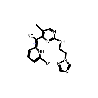 Cc1cnc(NCCn2cncn2)nc1/C(C#N)=C1/C=CC=C(Br)N1